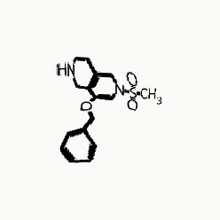 CS(=O)(=O)N1C=C(OCc2ccccc2)C2=C(C=CNC2)C1